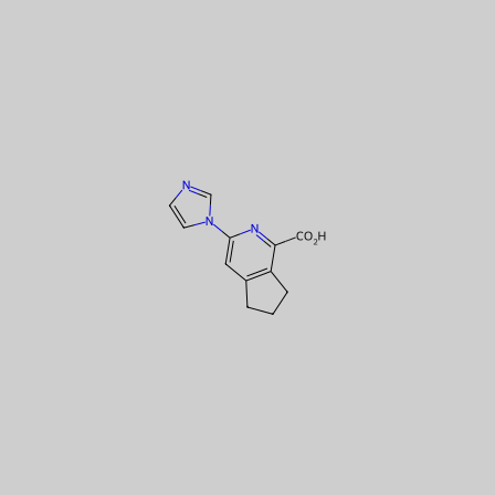 O=C(O)c1nc(-n2ccnc2)cc2c1CCC2